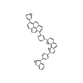 c1cncc(-c2ccc3ccc4c(-c5cccc(-c6ccc7ccc8ccc(-c9ccc(-c%10cncc%11ccccc%10%11)cc9)nc8c7n6)c5)ccc5ccc2c3c54)c1